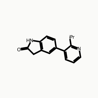 CC(C)c1ncccc1-c1ccc2c(c1)CC(=O)N2